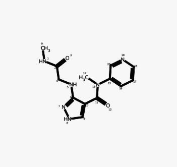 CNC(=O)CNc1n[nH]cc1C(=O)N(C)c1cccnc1